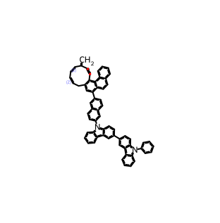 C=C1/C=C\C=C/Cc2cc(-c3ccc4cc(-n5c6ccccc6c6cc(-c7ccc8c(c7)c7ccccc7n8-c7ccccc7)ccc65)ccc4c3)c3ccc4ccccc4c3c2-c2ccccc21